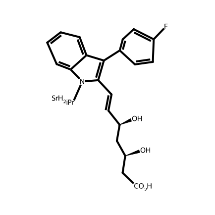 CC(C)n1c(/C=C/[C@@H](O)C[C@@H](O)CC(=O)O)c(-c2ccc(F)cc2)c2ccccc21.[SrH2]